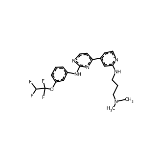 CN(C)CCCNc1cc(-c2ccnc(Nc3cccc(OC(F)(F)C(F)F)c3)n2)ccn1